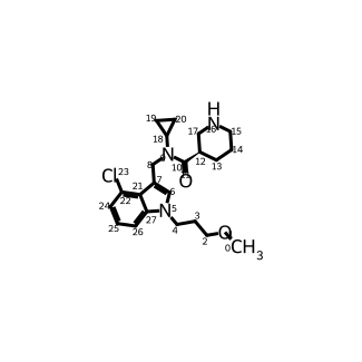 COCCCn1cc(CN(C(=O)[C@@H]2CCCNC2)C2CC2)c2c(Cl)cccc21